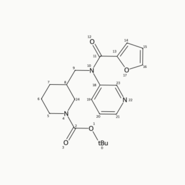 CC(C)(C)OC(=O)N1CCCC(CN(C(=O)c2ccco2)c2cccnc2)C1